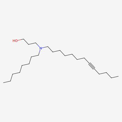 CCCCC#CCCCCCCCN(CCCO)CCCCCCCC